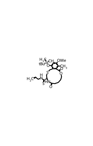 C=CCNC(=S)[C@H]1CSCc2c(O[Si](C)(C)C(C)(C)C)cc(OC)c(C)c2C(=O)OCCCCC(=O)N1